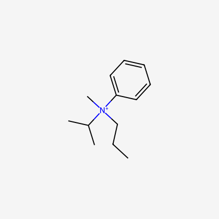 CCC[N+](C)(c1ccccc1)C(C)C